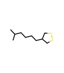 CC(C)CCCCC1CSSC1